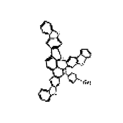 CC(C)(C)c1ccc(Nc2cc3oc4ccccc4c3cc2-c2ccc3c4cc5c(cc4n4c3c2Bc2cc3sc6ccccc6c3cc2-4)oc2ccccc25)cc1